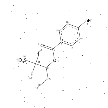 CCCc1ccc(C(=O)OC(CF)C(F)(F)S(=O)(=O)O)cc1